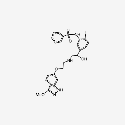 COc1n[nH]c2cc(OCCNCC(O)c3ccc(F)c(NS(=O)(=O)c4ccccc4)c3)ccc12